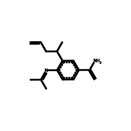 C=CCC(C)c1cc(C(=C)N)ccc1N=C(C)C